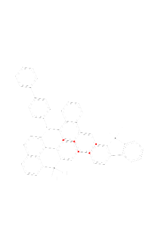 CC1(C)c2ccccc2-c2ccc(-c3ccc4c(c3)C(C)(C)c3cccc5ccc(N(c6ccc(-c7ccccc7)cc6)c6cc7ccccc7c7ccccc67)c-4c35)cc21